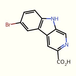 O=C(O)c1cc2c(cn1)[nH]c1ccc(Br)cc12